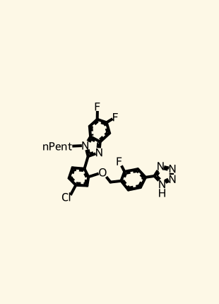 CCCCCn1c(-c2ccc(Cl)cc2OCc2ccc(-c3nnn[nH]3)cc2F)nc2cc(F)c(F)cc21